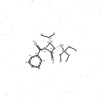 CC[Si](CC)(CC)O[C@@H]1C(=O)N(C(=O)c2ccccc2)[C@@H]1C(C)C